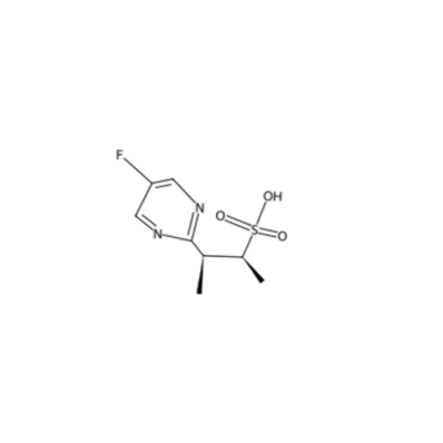 C[C@@H](c1ncc(F)cn1)[C@H](C)S(=O)(=O)O